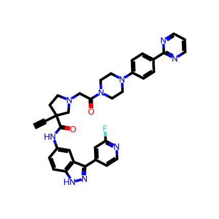 C#CC1(C(=O)Nc2ccc3[nH]nc(-c4ccnc(F)c4)c3c2)CCN(CC(=O)N2CCN(c3ccc(-c4ncccn4)cc3)CC2)C1